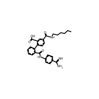 CCCCCCNC(=O)c1ccc(-c2ccccc2C(=O)Nc2ccc(C(=N)N)cc2)c(C(=O)O)c1